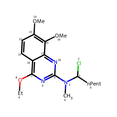 CCCCCC(Cl)N(C)c1nc(OCC)c2ccc(OC)c(OC)c2n1